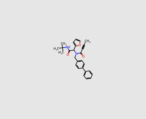 CC#CC(=O)N(Cc1ccc(-c2ccccc2)cc1)C(C(=O)NC(C)(C)C)c1ccco1